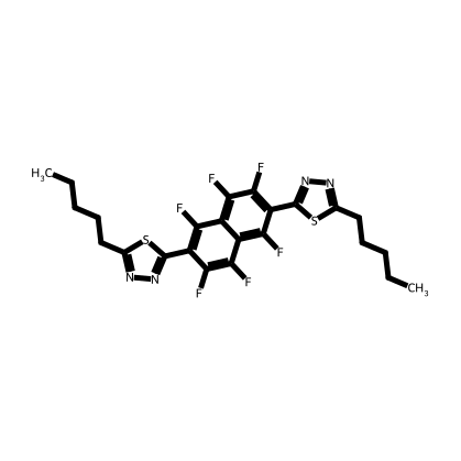 CCCCCc1nnc(-c2c(F)c(F)c3c(F)c(-c4nnc(CCCCC)s4)c(F)c(F)c3c2F)s1